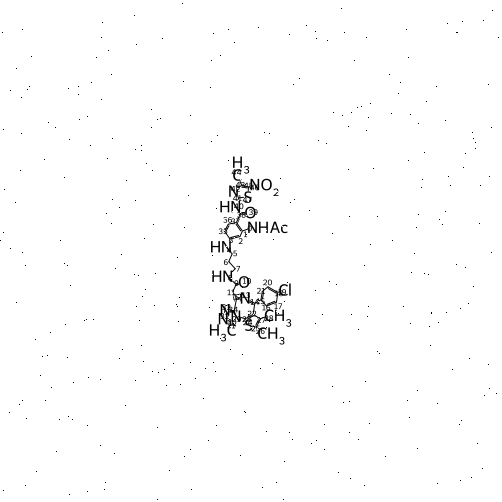 CC(=O)Nc1cc(NCCCNC(=O)C[C@@H]2N=C(c3ccc(Cl)cc3)c3c(sc(C)c3C)-n3c(C)nnc32)ccc1C(=O)Nc1nc(C)c([N+](=O)[O-])s1